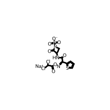 O=C(NC1CN(S(=O)(=O)[O-])C1=O)C(=NOC(=O)C(Cl)Cl)c1cccs1.[Na+]